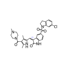 Cc1[nH]c(/C=C2\C(=O)Nc3ccc(S(=O)(=O)N4CCc5ccc(Cl)cc54)cc32)c(C)c1C(=O)N1CCN(C)CC1